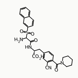 N#Cc1cc(C[C@H](NC(=O)C(N)S(=O)(=O)c2ccc3ccccc3c2)C(=O)O)ccc1C(=O)N1CCCCC1